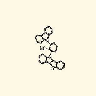 N#Cc1c(-n2c3ccccc3c3ccccc32)cccc1-n1c2ccccc2c2sc3ccccc3c21